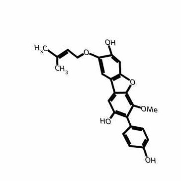 COc1c(-c2ccc(O)cc2)c(O)cc2c1oc1cc(O)c(OCC=C(C)C)cc12